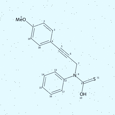 COc1ccc(C#CCN(C(O)=S)c2ccccc2)cc1